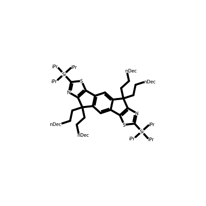 CCCCCCCCCCCCC1(CCCCCCCCCCCC)c2cc3c(cc2-c2sc([Si](C(C)C)(C(C)C)C(C)C)nc21)C(CCCCCCCCCCCC)(CCCCCCCCCCCC)c1nc([Si](C(C)C)(C(C)C)C(C)C)sc1-3